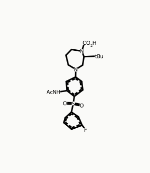 CC(=O)Nc1cc(N2CCCN(C(=O)O)C(C(C)(C)C)C2)ccc1S(=O)(=O)c1cccc(F)c1